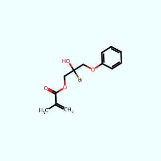 C=C(C)C(=O)OCC(O)(Br)COc1ccccc1